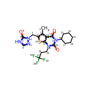 Cc1c(Cn2nc[nH]c2=O)sc2c1c(=O)n(C1CCCCC1)c(=O)n2CCC(F)(F)F